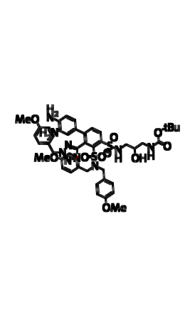 COc1ccc(CN(Cc2ccc(OC)cc2)S(=O)(=O)c2c(S(=O)(=O)NCC(O)CNC(=O)OC(C)(C)C)ccc(-c3ccc(N)c(N)c3)c2-c2nnn(Cc3ccc(OC)cc3)n2)cc1